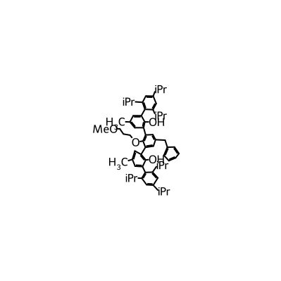 COCCCOc1c(-c2cc(C)cc(-c3c(C(C)C)cc(C(C)C)cc3C(C)C)c2O)cc(Cc2ccccc2)cc1-c1cc(C)cc(-c2c(C(C)C)cc(C(C)C)cc2C(C)C)c1O